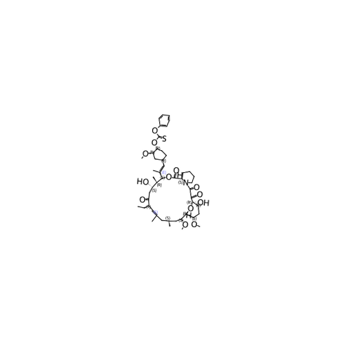 CC[C@@H]1/C=C(\C)C[C@H](C)C[C@H](OC)[C@H]2O[C@@](O)(C(=O)C(=O)N3CCCC[C@H]3C(=O)O[C@H](/C(C)=C/[C@@H]3CC[C@@H](OC(=S)Oc4ccccc4)[C@H](OC)C3)[C@H](C)[C@@H](O)CC1=O)[C@H](C)C[C@@H]2OC